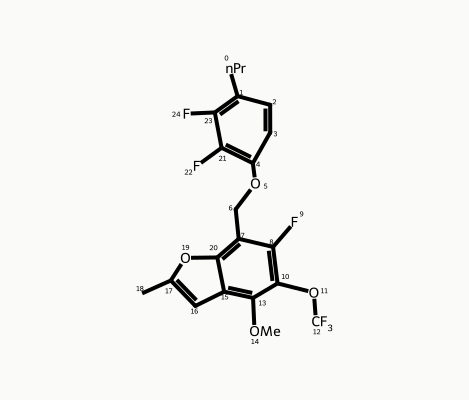 CCCc1ccc(OCc2c(F)c(OC(F)(F)F)c(OC)c3cc(C)oc23)c(F)c1F